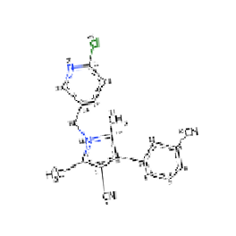 Cc1c(C#N)c(-c2cccc(C#N)c2)c(C)n1Cc1ccc(Cl)nc1